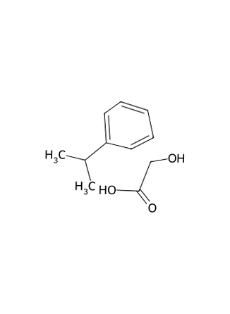 CC(C)c1ccccc1.O=C(O)CO